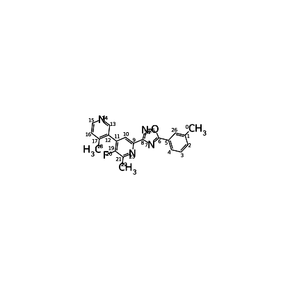 Cc1cccc(-c2nc(-c3cc(-c4cnccc4C)c(F)c(C)n3)no2)c1